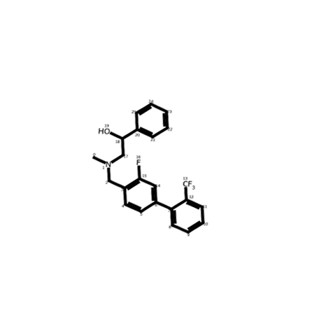 CN(Cc1ccc(-c2ccccc2C(F)(F)F)cc1F)CC(O)c1ccccc1